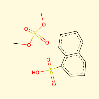 COS(=O)(=O)OC.O=S(=O)(O)c1cccc2ccccc12